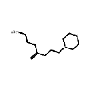 C=C(CCCCCCCCCCC)CCCN1CCOCC1